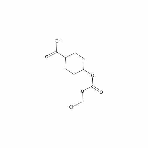 O=C(OCCl)OC1CCC(C(=O)O)CC1